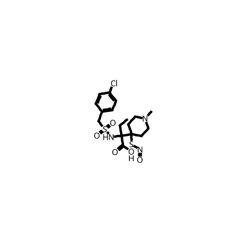 CCC(NS(=O)(=O)Cc1ccc(Cl)cc1)(C(=O)O)C1(SN=O)CCN(C)CC1